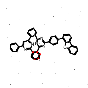 c1ccc(-c2cc(-c3ccccc3-c3nc(-c4ccccc4)nc(-c4ccc(-c5cccc6c5oc5ccccc56)cc4)n3)nc(-c3ccccc3)n2)cc1